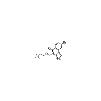 C[Si](C)(C)CCOCn1c(=O)c2ccc(Br)cc2n2cnnc12